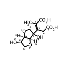 CC(C(=O)O)=C(CC(=O)O)[C@@]1(O)CO[C@@H]2[C@H](O)CO[C@@H]21